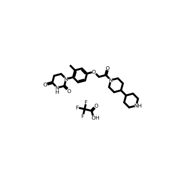 Cc1cc(OCC(=O)N2CCC(C3CCNCC3)CC2)ccc1N1CCC(=O)NC1=O.O=C(O)C(F)(F)F